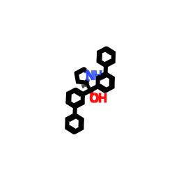 OC(c1cccc(-c2ccccc2)c1)(c1cccc(-c2ccccc2)c1)[C@H]1CCCN1